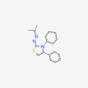 CC(C)=NN=c1scc(-c2ccccc2)n1-c1ccccc1